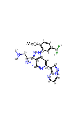 COc1ccc(C(F)F)cc1-n1nc(C(N)CN(C)C)c2cnc(-c3cnn4cccnc34)cc21